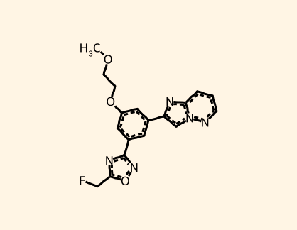 COCCOc1cc(-c2cn3ncccc3n2)cc(-c2noc(CF)n2)c1